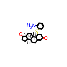 C[C@]12CC[C@H]3[C@@H](CCC4=CC(=O)CC(Sc5ccccc5N)[C@@]43C)[C@@H]1CCC2=O